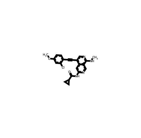 CNc1ncc(C#Cc2ccc(OC)cc2Cl)c2cc(NC(=O)C3CC3)ncc12